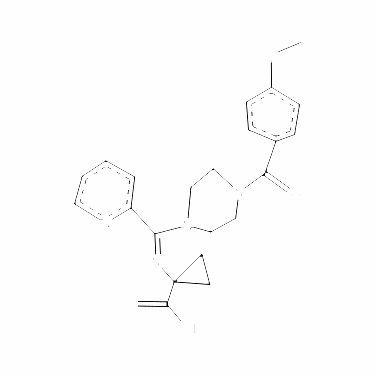 COc1ccc(C(=O)N2CCN(C(=NC3(C(=O)O)CC3)c3ccccn3)CC2)cc1